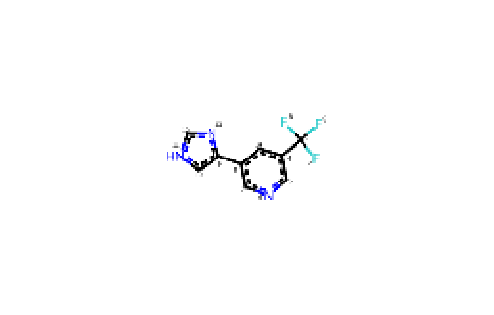 FC(F)(F)c1cncc(-c2c[nH]cn2)c1